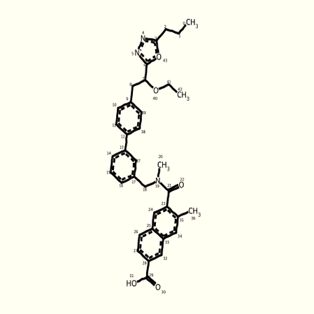 CCCc1nnc(C(Cc2ccc(-c3cccc(CN(C)C(=O)c4cc5ccc(C(=O)O)cc5cc4C)c3)cc2)OCC)o1